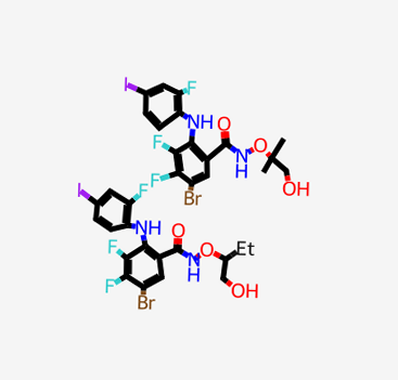 CC(C)(CO)ONC(=O)c1cc(Br)c(F)c(F)c1Nc1ccc(I)cc1F.CCC(CO)ONC(=O)c1cc(Br)c(F)c(F)c1Nc1ccc(I)cc1F